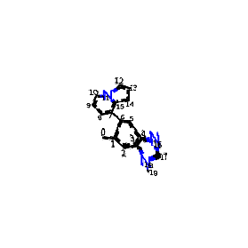 Cc1cc2c(cc1-c1cccn3cccc13)ncn2C